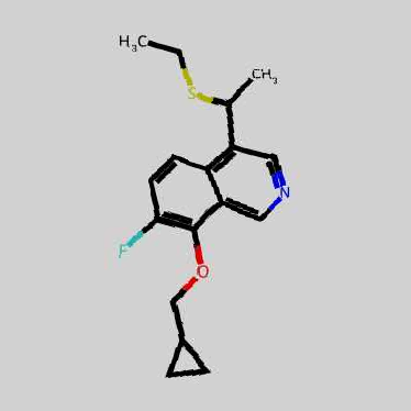 CCSC(C)c1cncc2c(OCC3CC3)c(F)ccc12